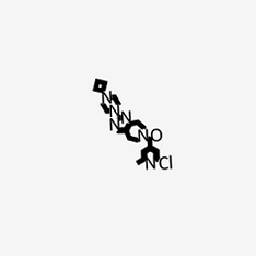 Cc1cc(C(=O)N2CCc3cnc(N4CCN(C5CCC5)CC4)nc3CC2)cc(Cl)n1